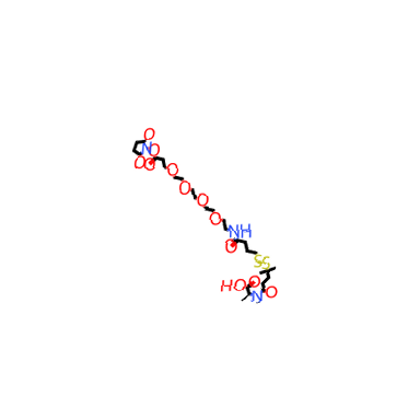 C[C@@H](C(=O)O)N(C)C(=O)CCC(C)(C)SSCCCC(=O)NCCOCCOCCOCCOCCC(=O)ON1C(=O)CCC1=O